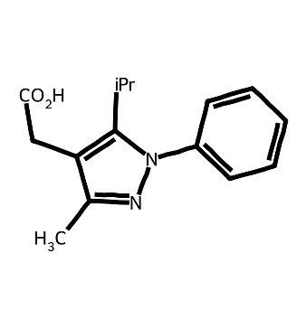 Cc1nn(-c2ccccc2)c(C(C)C)c1CC(=O)O